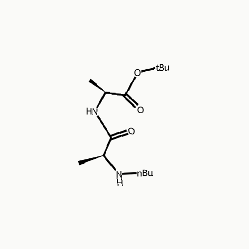 CCCCN[C@@H](C)C(=O)N[C@@H](C)C(=O)OC(C)(C)C